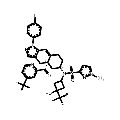 Cn1ccc(S(=O)(=O)N(C2CC(O)(C(F)(F)F)C2)[C@H]2CCC3=Cc4c(cnn4-c4ccc(F)cc4)C[C@]3(C(=O)c3cc(C(F)(F)F)ccn3)C2)n1